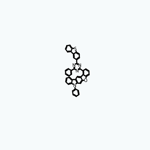 c1ccc(-c2nc(-c3ccc4sc5ccccc5c4c3)nc(-c3cccc4oc5cc6c(cc5c34)c3ccccc3n6-c3ccccc3)n2)cc1